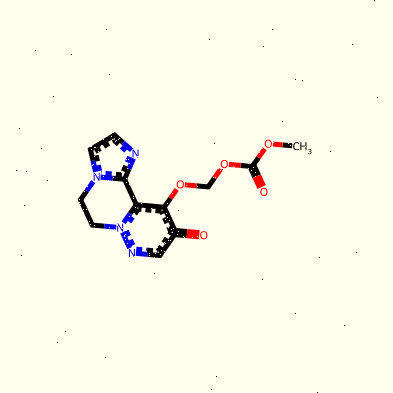 COC(=O)OCOc1c2n(ncc1=O)CCn1ccnc1-2